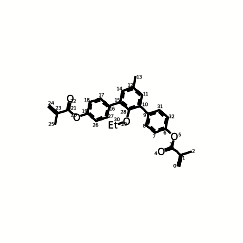 C=C(C)C(=O)Oc1ccc(-c2cc(C)cc(-c3ccc(OC(=O)C(=C)C)cc3)c2OCC)cc1